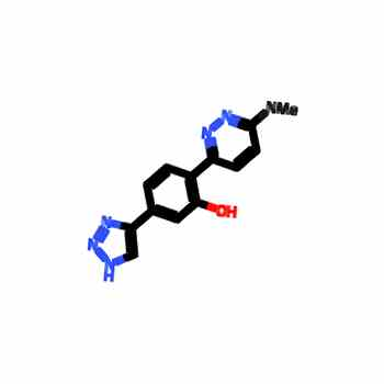 CNc1ccc(-c2ccc(-c3c[nH]nn3)cc2O)nn1